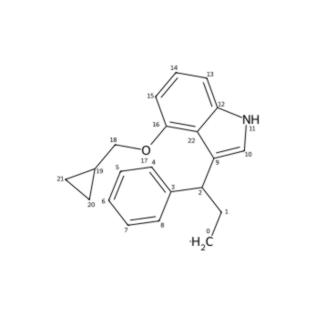 [CH2]CC(c1ccccc1)c1c[nH]c2cccc(OCC3CC3)c12